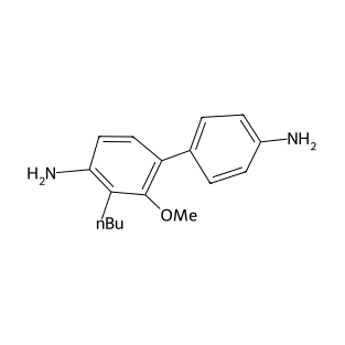 CCCCc1c(N)ccc(-c2ccc(N)cc2)c1OC